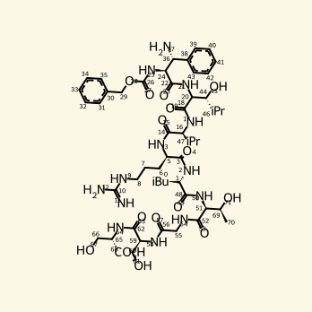 CC[C@H](C)[C@H](NC(=O)[C@@H](CCCNC(=N)N)NC(=O)[C@@H](NC(=O)C(NC(=O)[C@@H](NC(=O)OCc1ccccc1)[C@H](N)c1ccccc1)[C@H](O)C(C)C)C(C)C)C(=O)N[C@H](C(=O)NCC(=O)N[C@@H](CO)C(=O)N[C@@H](CO)C(=O)O)[C@H](C)O